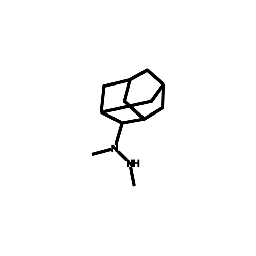 CNN(C)C1C2CC3CC(C2)CC1C3